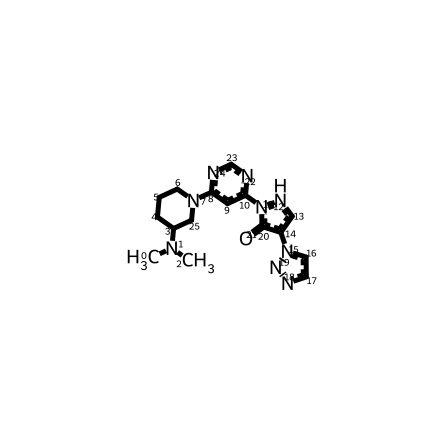 CN(C)C1CCCN(c2cc(-n3[nH]cc(-n4ccnn4)c3=O)ncn2)C1